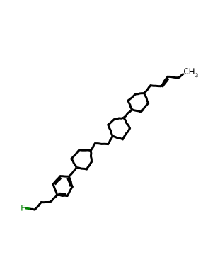 CCC=CCC1CCC(C2CCC(CCC3CCC(c4ccc(CCCF)cc4)CC3)CC2)CC1